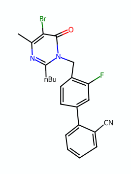 CCCCc1nc(C)c(Br)c(=O)n1Cc1ccc(-c2ccccc2C#N)cc1F